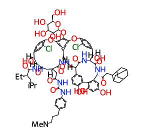 CC[C@H](CC(C)C)C(=O)N[C@H]1C(=O)C[C@@H](CC(=O)NC(=O)Nc2ccc(CCCNC)cc2)C(=O)N[C@H]2C(=O)C[C@H]3C(=O)N[C@H](C(=O)N[C@H](C(=O)CC4C5CC6CC(C5)CC4C6)c4cc(O)cc(O)c4-c4cc3ccc4O)[C@H](O)c3ccc(c(Cl)c3)Oc3cc2cc(c3O[C@@H]2O[C@H](CO)[C@@H](O)[C@H](O)[C@H]2O)Oc2ccc(cc2Cl)[C@H]1O